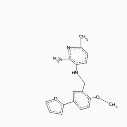 COc1ccc(-c2ccco2)cc1CNc1ccc(C)nc1N